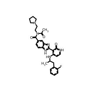 CC(=O)N(CCN1CCCC1)C(=O)c1ccc2[nH]c(-c3c(NC(C)Cc4ccccc4F)cc[nH]c3=O)nc2c1